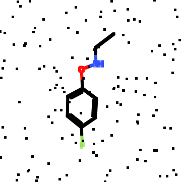 CCNOc1ccc(F)cc1